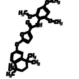 COc1cc(OC)c(NC(=O)c2ccc(Oc3ccc4c(c3)C(C)(C)CCC4(C)C)o2)c(OC)c1